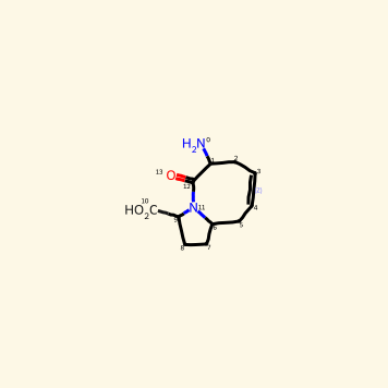 NC1C/C=C\CC2CCC(C(=O)O)N2C1=O